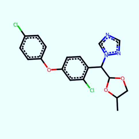 CC1COC(C(c2ccc(Oc3ccc(Cl)cc3)cc2Cl)n2cncn2)O1